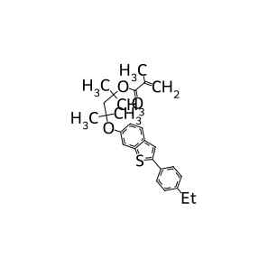 C=C(C)C(=O)OC(C)(C)CC(C)(C)Oc1ccc2cc(-c3ccc(CC)cc3)sc2c1